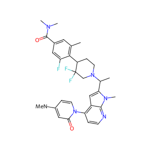 CNc1ccn(-c2ccnc3c2cc(C(C)N2CCC(c4c(C)cc(C(=O)N(C)C)cc4F)C(F)(F)C2)n3C)c(=O)c1